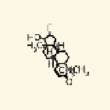 CN1C(=O)C=C[C@@]2(C)C1CC[C@@H]1[C@H]2CC[C@]2(C)C(O)C(F)C[C@@H]12